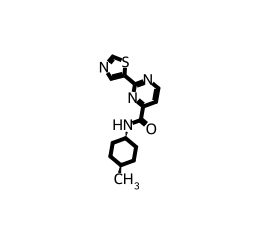 C[C@H]1CC[C@H](NC(=O)c2ccnc(-c3cncs3)n2)CC1